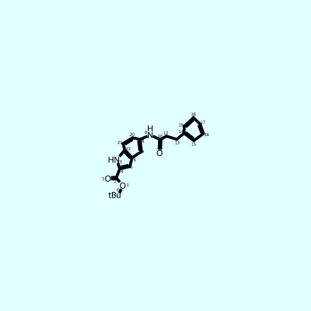 CC(C)(C)OC(=O)c1cc2cc(NC(=O)CCc3ccccc3)ccc2[nH]1